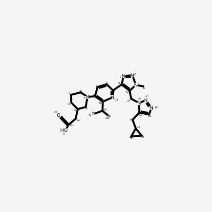 Cn1nnc(-c2ccc(N3CCCC(CC(=O)O)C3)c(C(F)F)n2)c1Cn1nncc1CC1CC1